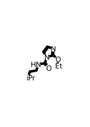 CCOc1nccn1C(=O)NCCC(C)C